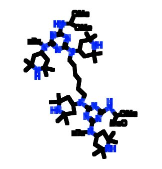 CCCCN(c1nc(NC(OC)OC)nc(N(CCCCCCN(c2nc(NC(OC)OC)nc(N(CCCC)C3CC(C)(C)NC(C)(C)C3)n2)C2CC(C)(C)NC(C)(C)C2)C2CC(C)(C)NC(C)(C)C2)n1)C1CC(C)(C)NC(C)(C)C1